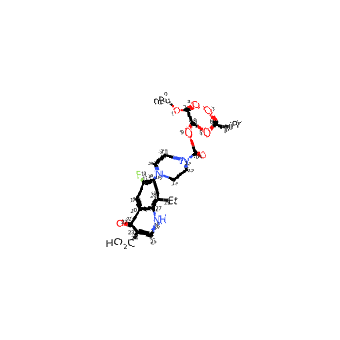 CCCCOC(=O)C(OC(=O)C(C)C)OC(=O)N1CCN(c2c(F)cc3c(=O)c(C(=O)O)c[nH]c3c2CC)CC1